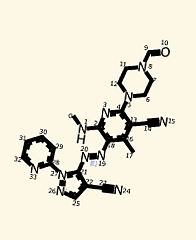 CNc1nc(N2CCN(C=O)CC2)c(C#N)c(C)c1/N=N/c1c(C#N)cnn1-c1ccccn1